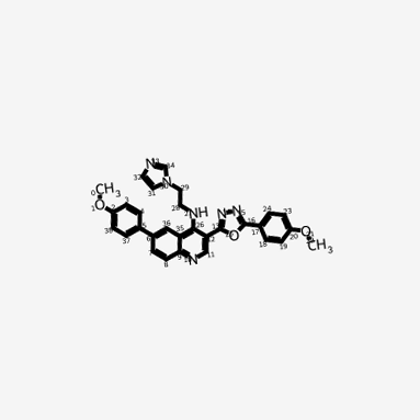 COc1ccc(-c2ccc3ncc(-c4nnc(-c5ccc(OC)cc5)o4)c(NCCn4ccnc4)c3c2)cc1